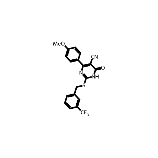 COc1ccc(-c2nc(SCc3cccc(C(F)(F)F)c3)[nH]c(=O)c2C#N)cc1